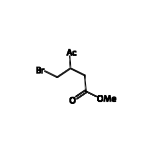 COC(=O)CC(CBr)C(C)=O